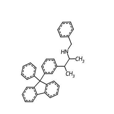 CC(NCc1ccccc1)C(C)c1cccc(C2(c3ccccc3)c3ccccc3-c3ccccc32)c1